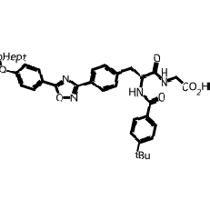 CCCCCCCOc1ccc(-c2nc(-c3ccc(C[C@H](NC(=O)c4ccc(C(C)(C)C)cc4)C(=O)NCC(=O)O)cc3)no2)cc1